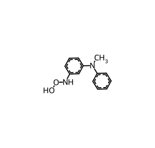 CN(c1ccccc1)c1cccc(NOO)c1